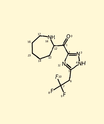 O=C(c1n[nH]c(CC(F)(F)F)n1)C1CCCCCN1